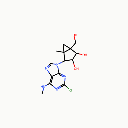 CNc1nc(Cl)nc2c1ncn2C1C(O)C(O)C2(CO)CC12C